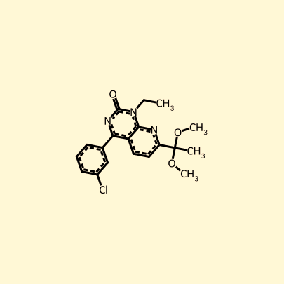 CCn1c(=O)nc(-c2cccc(Cl)c2)c2ccc(C(C)(OC)OC)nc21